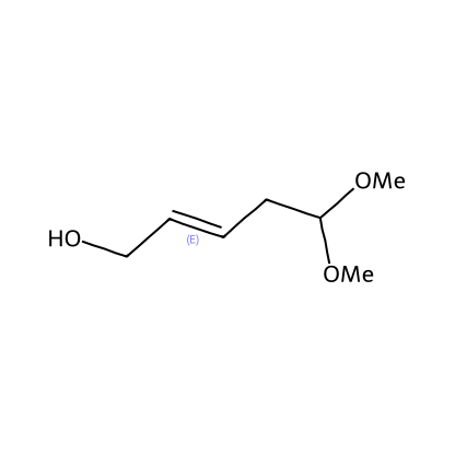 COC(C/C=C/CO)OC